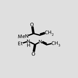 C=CC(=O)NC.CC=NC(=O)NCC